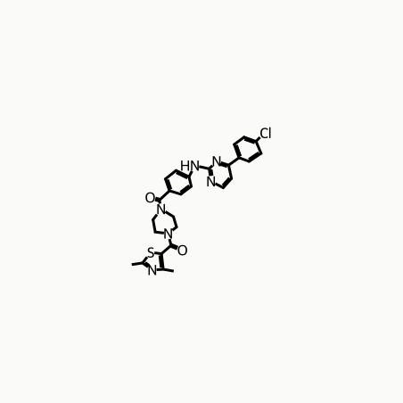 Cc1nc(C)c(C(=O)N2CCN(C(=O)c3ccc(Nc4nccc(-c5ccc(Cl)cc5)n4)cc3)CC2)s1